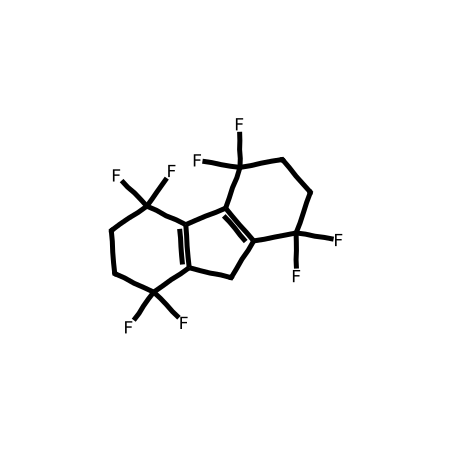 FC1(F)CCC(F)(F)C2=C1CC1=C2C(F)(F)CCC1(F)F